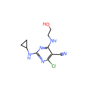 N#Cc1c(Cl)nc(NC2CC2)nc1NCCO